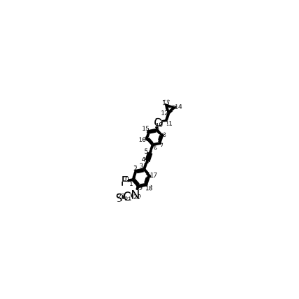 Fc1cc(C#Cc2ccc(OCC3CC3)cc2)ccc1N=C=S